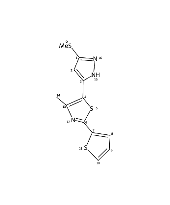 CSc1cc(-c2sc(-c3cccs3)nc2C)[nH]n1